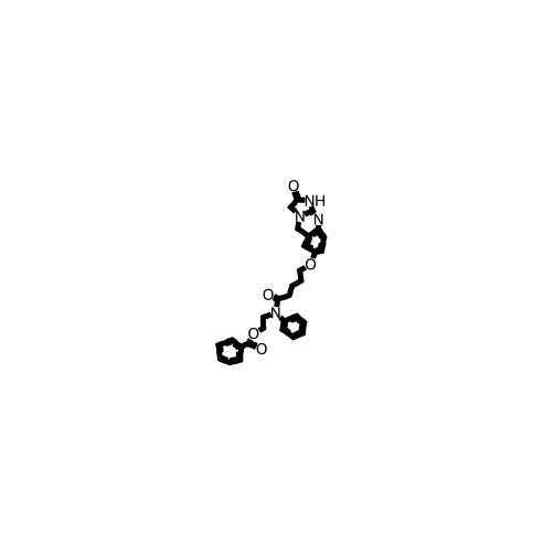 O=C1CN2Cc3cc(OCCCCC(=O)N(CCOC(=O)c4ccccc4)c4ccccc4)ccc3N=C2N1